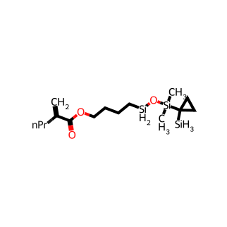 C=C(CCC)C(=O)OCCCC[SiH2]O[Si](C)(C)C1([SiH3])CC1